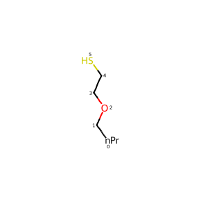 [CH2]CCCOCCS